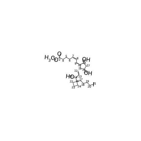 COC(=O)CCC/C=C\C[C@@H]1[C@@H](/C=C/[C@@H](O)C2(CCCCI)CCC2)[C@H](O)C[C@@H]1O